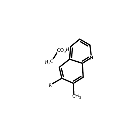 CC(=O)O.Cc1cc2ncccc2c[c]1[K]